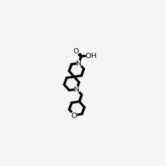 O=C(O)N1CCC2(CCCN(CC3CCOCC3)C2)CC1